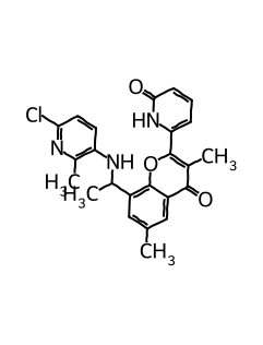 Cc1cc(C(C)Nc2ccc(Cl)nc2C)c2oc(-c3cccc(=O)[nH]3)c(C)c(=O)c2c1